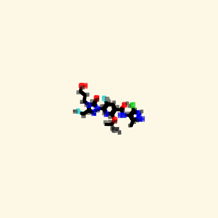 Cc1[nH]nc(Cl)c1NC(=O)c1cc(F)c(-n2nc(CF)n(CCCO)c2=O)nc1O[C@@H](C)C(F)(F)F